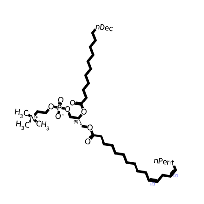 CCCCC/C=C\C/C=C\CCCCCCCCCC(=O)OC[C@H](COP(=O)([O-])OCC[N+](C)(C)C)OC(=O)CCCCCCCCCCCCCCCCCCCC